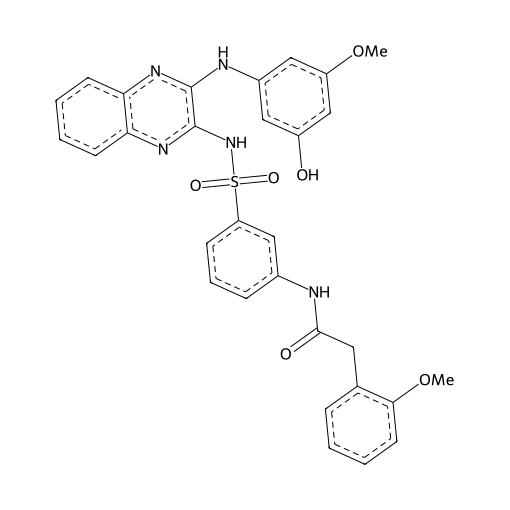 COc1cc(O)cc(Nc2nc3ccccc3nc2NS(=O)(=O)c2cccc(NC(=O)Cc3ccccc3OC)c2)c1